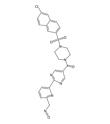 O=NCc1cccc(-c2ncc(C(=O)N3CCN(S(=O)(=O)c4ccc5cc(Cl)ccc5c4)CC3)cn2)n1